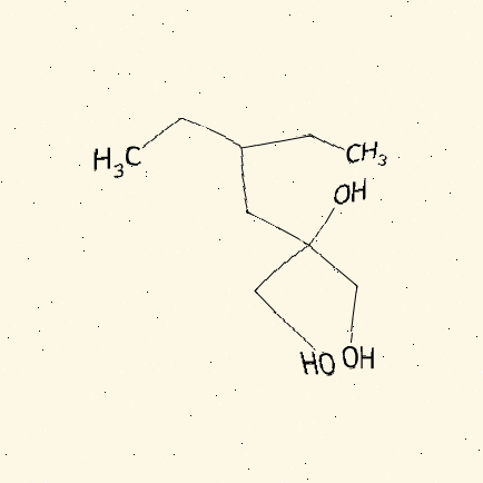 CCC(CC)CC(O)(CO)CO